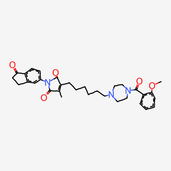 COc1ccccc1C(=O)N1CCN(CCCCCCC2=C(C)C(=O)N(c3ccc4c(c3)CCC4=O)C2=O)CC1